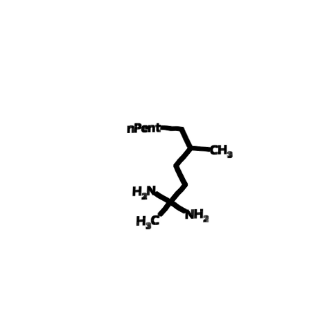 CCCCCCC(C)CCC(C)(N)N